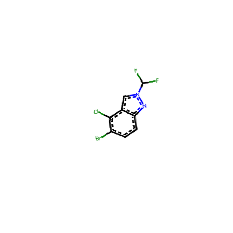 FC(F)n1cc2c(Cl)c(Br)ccc2n1